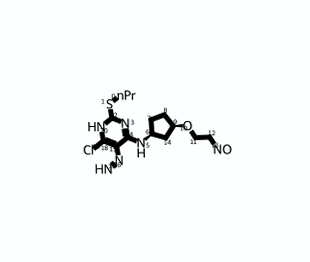 CCCSC1N=C(N[C@H]2CC[C@@H](OCCN=O)C2)C(N=N)=C(Cl)N1